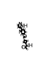 CC(=O)N[C@H]1C[C@H](COc2ccc(-c3ccn[nH]3)nc2)C1